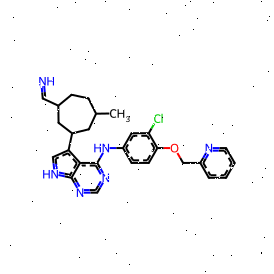 CC1CCC(C=N)CC(c2c[nH]c3ncnc(Nc4ccc(OCc5ccccn5)c(Cl)c4)c23)C1